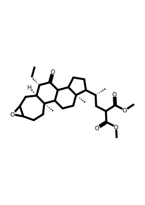 CC[C@@H]1C(=O)C2C3CCC([C@H](C)CC(C(=O)OC)C(=O)OC)[C@@]3(C)CCC2[C@@]2(C)CCC3OC3C[C@@H]12